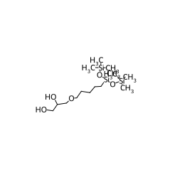 C[Si](C)(C)O[Si](C)(CCCCCOCC(O)CO)O[Si](C)(C)C